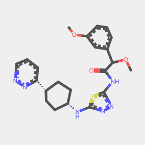 COc1cccc(C(OC)C(=O)Nc2nnc(N[C@H]3CC[C@@H](c4cccnn4)CC3)s2)c1